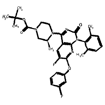 Cc1cccc(C)c1-n1c(=O)nc(N2CCN(C(=O)OC(C)(C)C)C[C@@H]2C)c2cc(F)c(Oc3cccc(F)c3)nc21